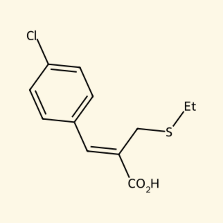 CCSC/C(=C\c1ccc(Cl)cc1)C(=O)O